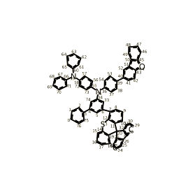 c1ccc(-c2cc(-c3cccc4c3Sc3ccccc3C43c4ccccc4-c4ccccc43)cc(N(c3ccc(-c4ccc5oc6ccccc6c5c4)cc3)c3ccc(N(c4ccccc4)c4ccccc4)cc3)c2)cc1